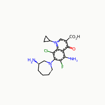 Nc1c(F)c(N2CCCC[C@@H](N)C2)c(Cl)c2c1c(=O)c(C(=O)O)cn2C1CC1